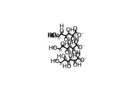 O=C([O-])[C@H](O)[C@@H](O)[C@H](O)[C@H](O)CO.O=C([O-])[C@H](O)[C@@H](O)[C@H](O)[C@H](O)CO.O=C([O-])[C@H](O)[C@@H](O)[C@H](O)[C@H](O)CO.[Fe+2].[Na+]